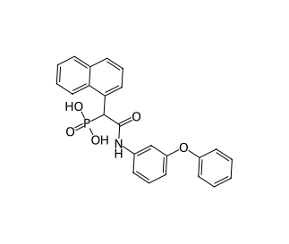 O=C(Nc1cccc(Oc2ccccc2)c1)C(c1cccc2ccccc12)P(=O)(O)O